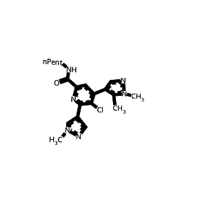 CCCCCNC(=O)c1cc(-c2cnn(C)c2C)c(Cl)c(-c2cnn(C)c2)n1